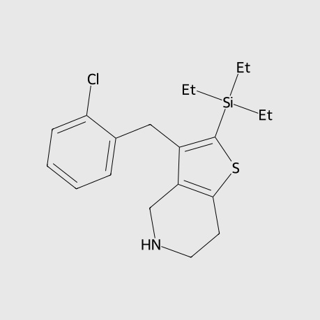 CC[Si](CC)(CC)c1sc2c(c1Cc1ccccc1Cl)CNCC2